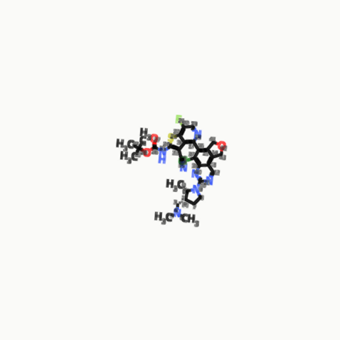 C[C@H]1[C@@H](CN(C)C)CCN1c1ncc2c3c(c(-c4ncc(F)c5sc(NC(=O)OC(C)(C)C)c(C#N)c45)c(Cl)c2n1)COC3